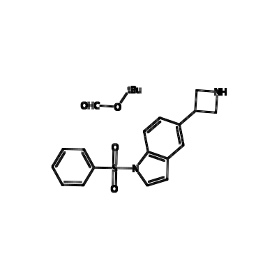 CC(C)(C)OC=O.O=S(=O)(c1ccccc1)n1ccc2cc(C3CNC3)ccc21